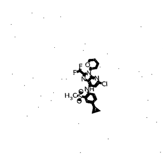 CS(=O)(=O)c1cc(C2CC2)ccc1Nc1cc(Cl)nc2c1nc(C(F)F)n2C1CCCCO1